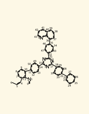 C=Nc1c(/C=C\C)cccc1-c1ccc(-c2nc(-c3ccc(-c4ccccc4)cc3)nc(-c3ccc(-c4cccc5cccnc45)cc3)n2)cc1